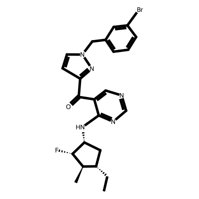 CC[C@H]1C[C@@H](Nc2ncncc2C(=O)c2ccn(Cc3cccc(Br)c3)n2)[C@@H](F)[C@@H]1C